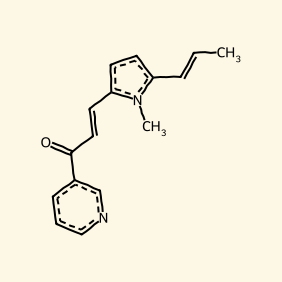 C/C=C/c1ccc(/C=C/C(=O)c2cccnc2)n1C